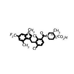 Cc1cc(C(F)(F)F)cc2c1c(Cc1c(Cl)ccc(C(=O)N3CC[C@@H](C(=O)O)[C@@H](C)C3)c1Cl)cn2C